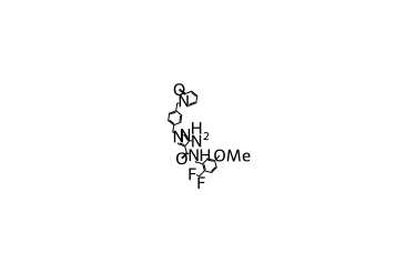 COc1ccc(C(F)F)c(CNC(=O)c2cn(Cc3ccc(Cn4ccccc4=O)cc3)nc2N)c1